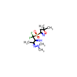 C/C(=N/N(C)C)C(=N)C(F)(F)S(=O)(=O)C1=NOC(C)(C)C1